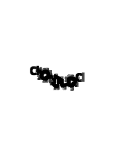 Clc1ccc(CN2CCN(c3ccc(Cl)cc3)CC2)cc1